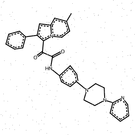 Cc1ccn2c(C(=O)C(=O)Nc3ccc(N4CCN(c5ccccn5)CC4)cc3)c(-c3ccccc3)cc2c1